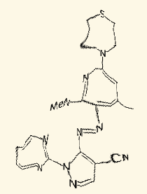 CNc1nc(N2CCSCC2)cc(C)c1/N=N/c1c(C#N)cnn1-c1ncccn1